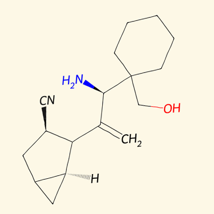 C=C(C1[C@H]2CC2C[C@H]1C#N)[C@@H](N)C1(CO)CCCCC1